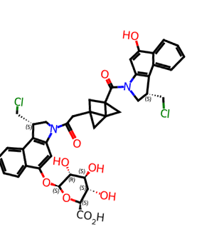 O=C(O)[C@H]1O[C@@H](Oc2cc3c(c4ccccc24)[C@H](CCl)CN3C(=O)CC23CC4(C(=O)N5C[C@@H](CCl)c6c5cc(O)c5ccccc65)CC24C3)[C@H](O)[C@@H](O)[C@@H]1O